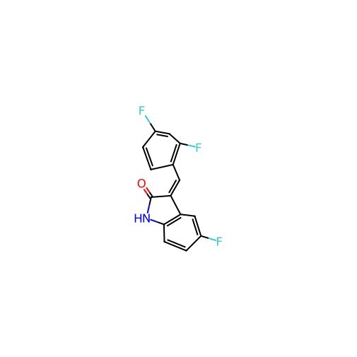 O=C1Nc2ccc(F)cc2/C1=C/c1ccc(F)cc1F